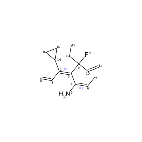 C=C/C(=C(\C(N)=C/C)C(F)(C=C)CC)C1CC1